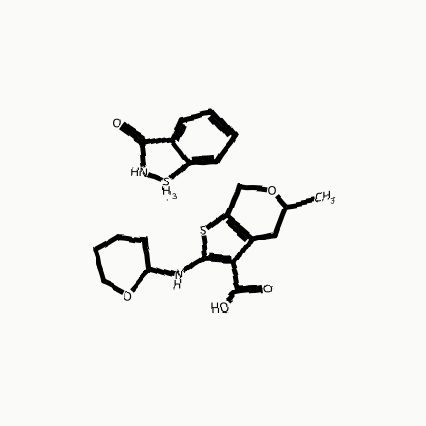 CC1Cc2c(sc(NC3CCCCO3)c2C(=O)O)CO1.O=C1N[SH3]c2ccccc21